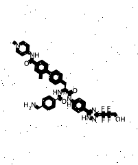 Cc1cc(C(=O)NC2CCN(C)CC2)ccc1-c1ccc(C[C@H](NC(=O)[C@H]2CC[C@H](CN)CC2)C(=O)Nc2ccc(-c3nc(C(F)(F)C(F)(F)CO)n[nH]3)cc2)cc1